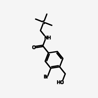 CS(C)(C)CNC(=O)c1ccc(CO)c(Br)c1